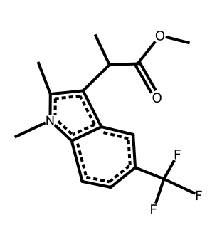 COC(=O)C(C)c1c(C)n(C)c2ccc(C(F)(F)F)cc12